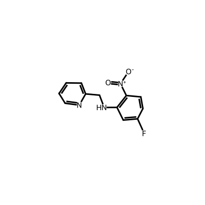 O=[N+]([O-])c1ccc(F)cc1NCc1ccccn1